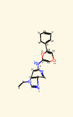 CCn1cnc2cnc(NC3=COC=C(C4=CC=CCC4)O3)cc21